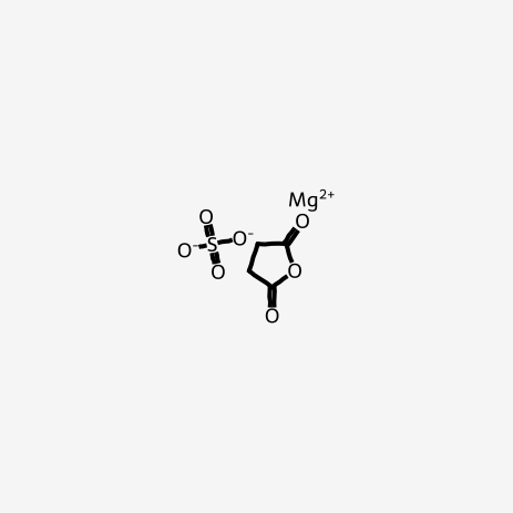 O=C1CCC(=O)O1.O=S(=O)([O-])[O-].[Mg+2]